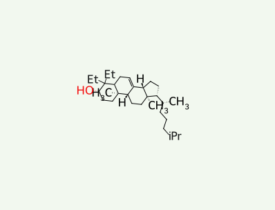 CCC1(CC)C2CC=C3[C@@H]4CC[C@H]([C@H](C)CCCC(C)C)[C@@]4(C)CC[C@@H]3[C@@]2(C)CC[C@@H]1O